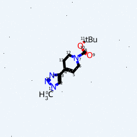 Cn1cc(C2=CCN(C(=O)OC(C)(C)C)CC2)nn1